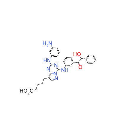 Nc1cccc(Nc2nc(Nc3cccc(C(=O)C(O)c4ccccc4)c3)n3ncc(CCCCC(=O)O)c3n2)c1